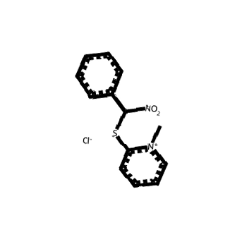 C[n+]1ccccc1SC(c1ccccc1)[N+](=O)[O-].[Cl-]